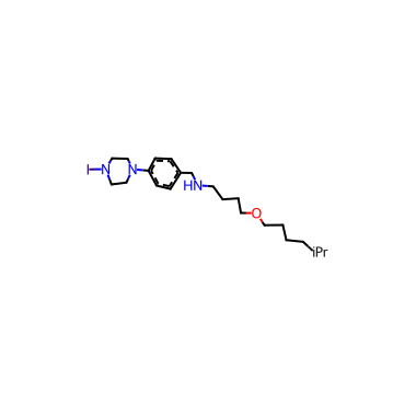 CC(C)CCCCOCCCCNCc1ccc(N2CCN(I)CC2)cc1